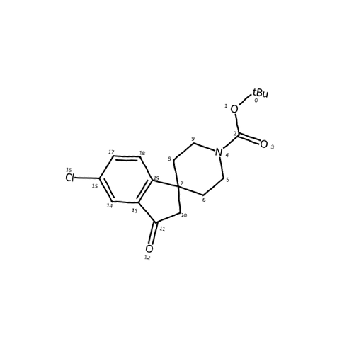 CC(C)(C)OC(=O)N1CCC2(CC1)CC(=O)c1cc(Cl)ccc12